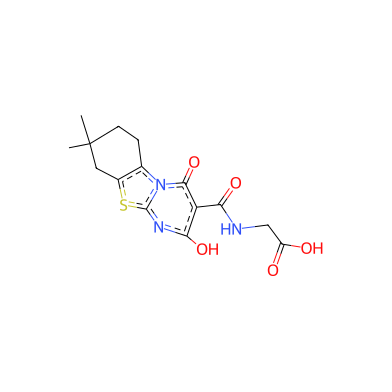 CC1(C)CCc2c(sc3nc(O)c(C(=O)NCC(=O)O)c(=O)n23)C1